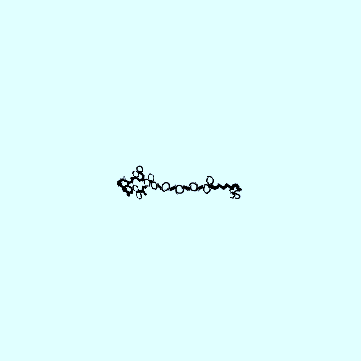 CCC(C)C(=O)OC1CC(C)C=C2C=C[C@H](C)C(CCC3CC(OC(=O)OCCOCCOCCOCCOC(=O)CCCCC4CCSS4)CC(=O)O3)C21